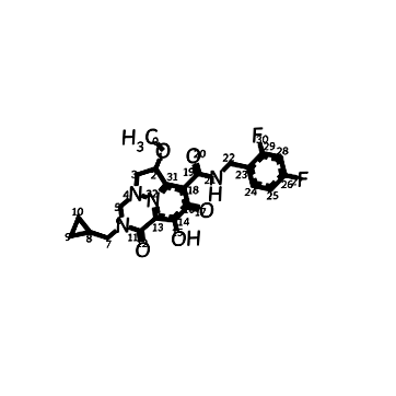 COC1CN2CN(CC3CC3)C(=O)c3c(O)c(=O)c(C(=O)NCc4ccc(F)cc4F)c1n32